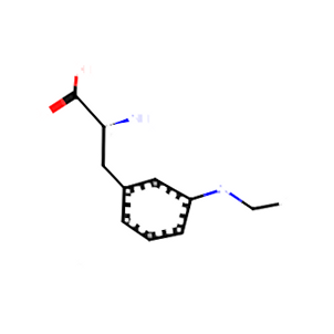 CCNc1cccc(C[C@H](N)C(=O)O)c1.Cl.Cl